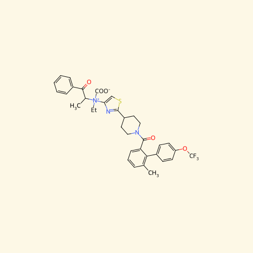 CC[N+](C(=O)[O-])(c1csc(C2CCN(C(=O)c3cccc(C)c3-c3ccc(OC(F)(F)F)cc3)CC2)n1)C(C)C(=O)c1ccccc1